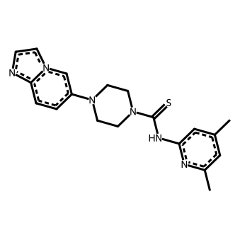 Cc1cc(C)nc(NC(=S)N2CCN(c3ccc4nccn4c3)CC2)c1